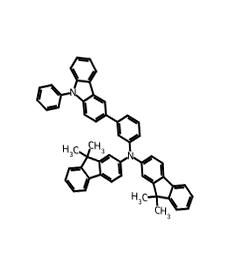 CC1(C)c2ccccc2-c2ccc(N(c3cccc(-c4ccc5c(c4)c4ccccc4n5-c4ccccc4)c3)c3ccc4c(c3)C(C)(C)c3ccccc3-4)cc21